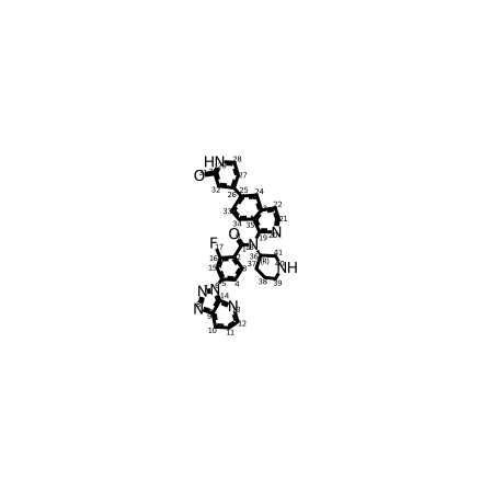 O=C(c1ccc(-n2nnc3cccnc32)cc1F)N(c1nccc2cc(-c3cc[nH]c(=O)c3)ccc12)[C@@H]1CCCNC1